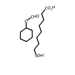 CCCCCCCCCCCCCCCCCC(=O)O.O=COC1CCCCC1